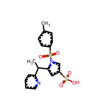 Cc1ccc(S(=O)(=O)n2cc(S(=O)(=O)O)cc2C(C)c2ccccn2)cc1